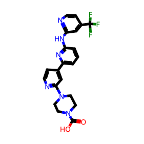 O=C(O)N1CCN(c2cc(-c3cccc(Nc4cc(C(F)(F)F)ccn4)n3)ccn2)CC1